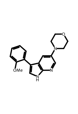 COc1ccccc1-c1c[nH]c2ncc(N3CCOCC3)cc12